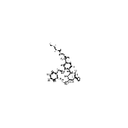 CCCCCCC(C)(C)c1ccc(C2CC(OC)=CC(=O)C2C)c(OCc2ccccc2)c1